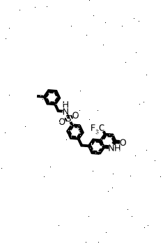 Cc1cccc(CNS(=O)(=O)c2ccc(Cc3ccc4[nH]c(=O)cc(C(F)(F)F)c4c3)cc2)c1